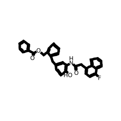 O=C(Cc1ccc(F)c2ccccc12)Nc1cc(Cc2ccccc2COC(=O)c2ccccc2)ccc1O